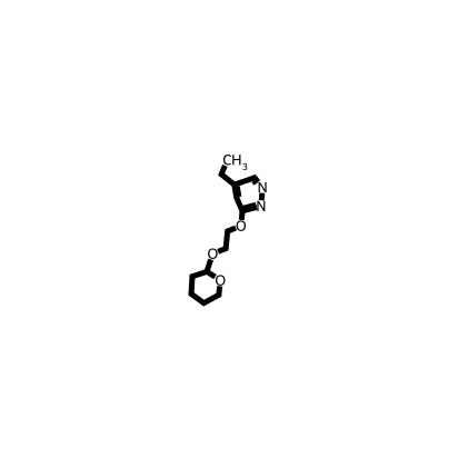 CCc1cnnc(OCCOC2CCCCO2)c1